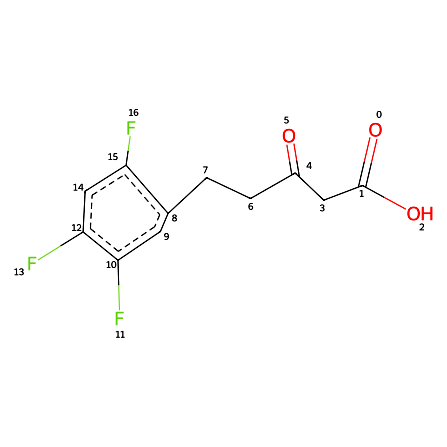 O=C(O)CC(=O)CCc1cc(F)c(F)cc1F